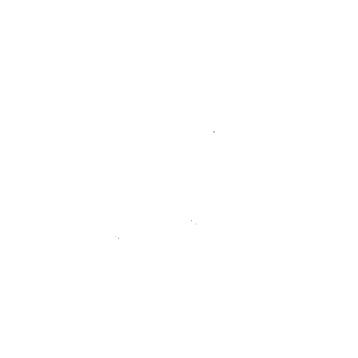 CCS(=O)(=O)O.CN(C)CCCN1c2ccccc2Sc2ccccc21